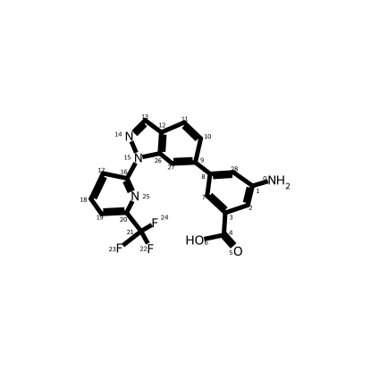 Nc1cc(C(=O)O)cc(-c2ccc3cnn(-c4cccc(C(F)(F)F)n4)c3c2)c1